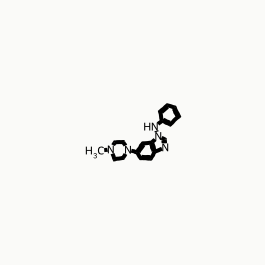 CN1CCN(c2ccc3ncn(Nc4ccccc4)c3c2)CC1